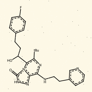 CC(C)(C)c1nc(NCCc2cccnc2)c2n[nH]c(=O)n2c1C(O)CCc1ccc(F)cc1